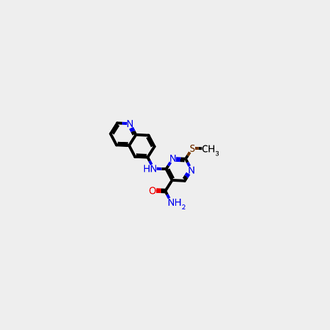 CSc1ncc(C(N)=O)c(Nc2ccc3ncccc3c2)n1